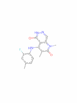 Cc1ccc(Nc2c(C)c(=O)n(C)c3cn[nH]c(=O)c23)c(F)c1